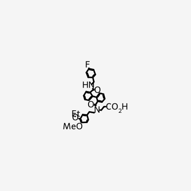 CCOc1cc(CCN(CCC(=O)O)C(=O)c2ccccc2-c2ccccc2C(=O)NCc2ccc(F)cc2)ccc1OC